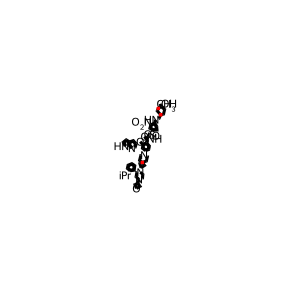 CC(C)c1ccccc1[C@H]1CN(C2COC2)CCN1C1CC2(CCN(c3ccc(C(=O)NS(=O)(=O)c4ccc(NCC5CCC(C)(O)CC5)c([N+](=O)[O-])c4)c(Oc4cnc5[nH]ccc5c4)c3)CC2)C1